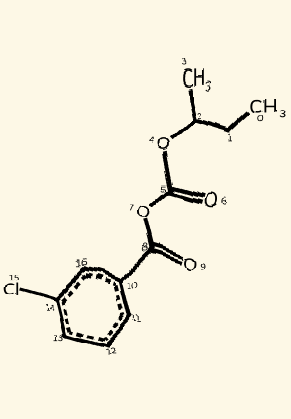 CCC(C)OC(=O)OC(=O)c1cccc(Cl)c1